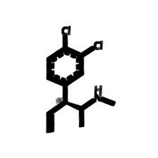 C=C[C@@H](c1ccc(Cl)c(Cl)c1)C(C)NC